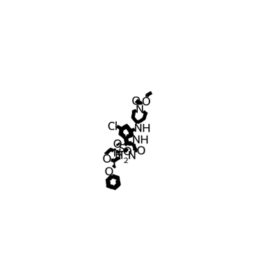 CCOC(=O)N1CCC(Nc2cc(Cl)cc3c(S(=O)(=O)N4CCO[C@H](COc5ccccc5)C4)c(C(N)=O)[nH]c23)CC1